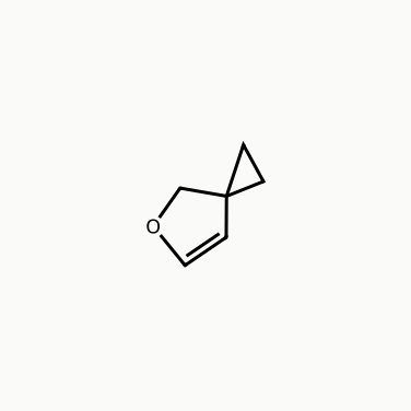 C1=CC2(CC2)CO1